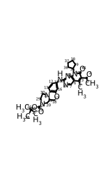 CC(=O)c1c(C)c2cnc(Nc3ccc4c(c3)OCC3CN(C(=O)OC(C)(C)C)CCN43)nc2n(C2CCCC2)c1=O